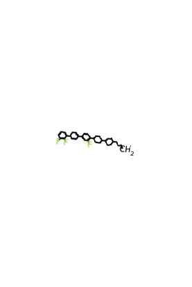 C=CCCC1CCC(C2CCC(c3ccc(C4=CCC(c5cccc(F)c5F)C=C4)cc3F)CC2)CC1